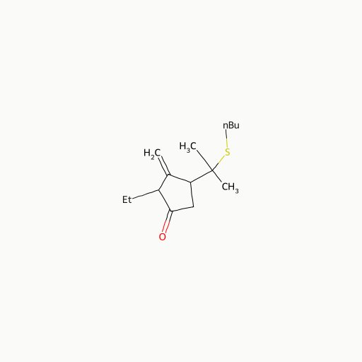 C=C1C(CC)C(=O)CC1C(C)(C)SCCCC